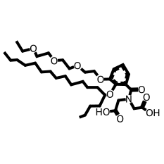 CCCCCCCCCCCCCC(CCCC)Oc1c(OCCOCCOCCOCC)cccc1C(=O)N(CC(=O)O)CC(=O)O